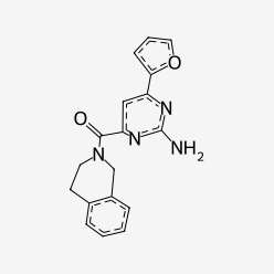 Nc1nc(C(=O)N2CCc3ccccc3C2)cc(-c2ccco2)n1